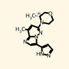 Cc1cc(N2CCOC[C@H]2C)nn2c(-c3ccn[nH]3)cnc12